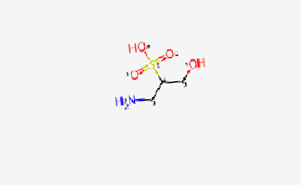 NCC(CO)S(=O)(=O)O